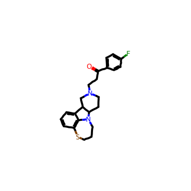 O=C(CCN1CCC2C(C1)c1cccc3c1N2CCCS3)c1ccc(F)cc1